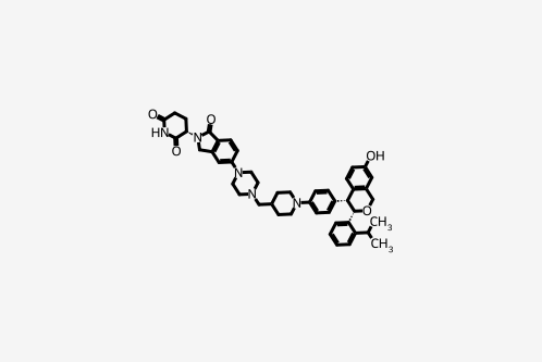 CC(C)c1ccccc1[C@H]1OCc2cc(O)ccc2[C@H]1c1ccc(N2CCC(CN3CCN(c4ccc5c(c4)CN([C@H]4CCC(=O)NC4=O)C5=O)CC3)CC2)cc1